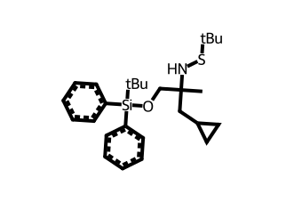 CC(CO[Si](c1ccccc1)(c1ccccc1)C(C)(C)C)(CC1CC1)NSC(C)(C)C